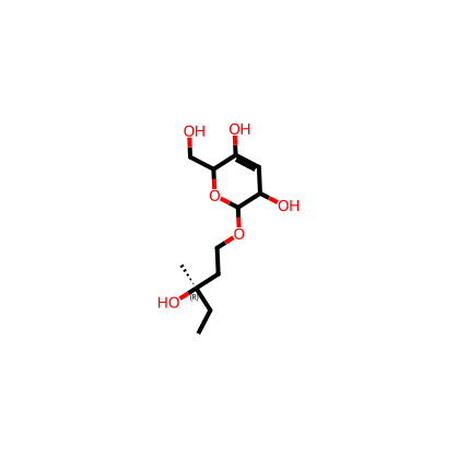 CC[C@@](C)(O)CCOC1OC(CO)C(O)=CC1O